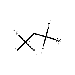 CC(=O)C(F)(F)CC(C)(F)F